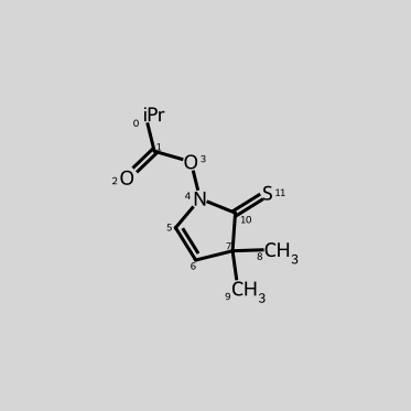 CC(C)C(=O)ON1C=CC(C)(C)C1=S